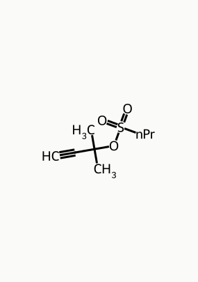 C#CC(C)(C)OS(=O)(=O)CCC